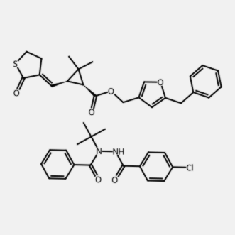 CC(C)(C)N(NC(=O)c1ccc(Cl)cc1)C(=O)c1ccccc1.CC1(C)[C@H](/C=C2\CCSC2=O)[C@@H]1C(=O)OCc1coc(Cc2ccccc2)c1